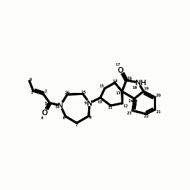 C/C=C/C(=O)N1CCCN(C2CCC3(CC2)C(=O)Nc2ccccc23)CC1